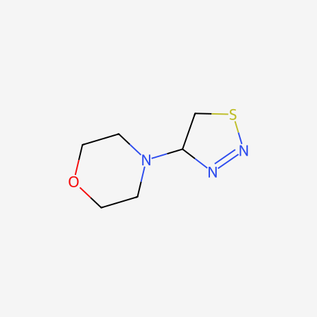 C1CN(C2CSN=N2)CCO1